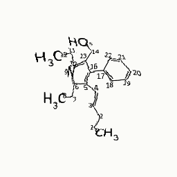 CCC/C=C/c1c(CC)nc(CC)c(CO)c1-c1ccccc1